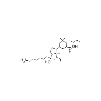 CCC[C@@]1(C)[C@H]([C@@H]2C[C@H](O)[C@@H](C[C@@H](O)CC)C(C)(C)C2)CC[C@@H]1[C@@](C)(O)CCCCCCN